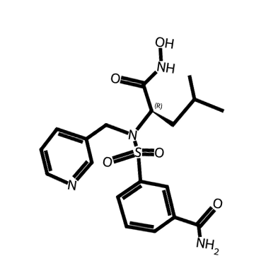 CC(C)C[C@H](C(=O)NO)N(Cc1cccnc1)S(=O)(=O)c1cccc(C(N)=O)c1